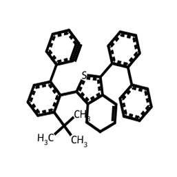 CC(C)(C)c1cccc(-c2c#cccc2)c1-c1sc(-c2ccccc2-c2ccccc2)c2c1CCC=C2